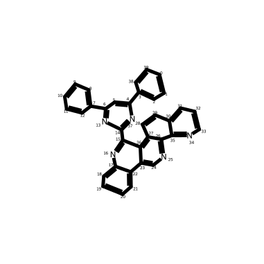 c1ccc(-c2cc(-c3ccccc3)nc(-c3nc4ccccc4c4cnc5c(ccc6cccnc65)c34)n2)cc1